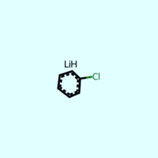 Clc1ccccc1.[LiH]